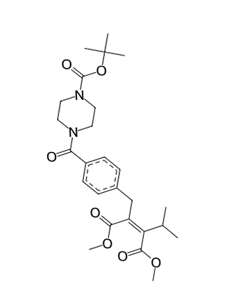 COC(=O)/C(Cc1ccc(C(=O)N2CCN(C(=O)OC(C)(C)C)CC2)cc1)=C(\C(=O)OC)C(C)C